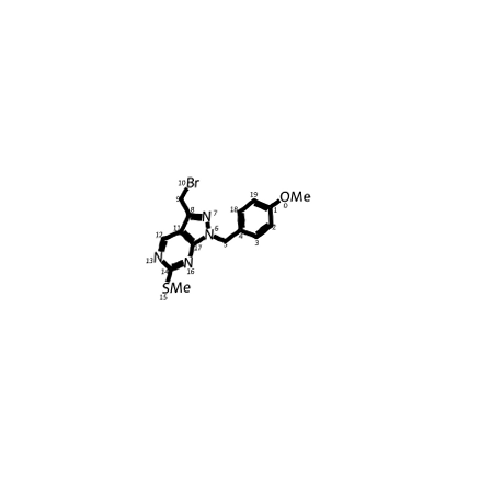 COc1ccc(Cn2nc(CBr)c3cnc(SC)nc32)cc1